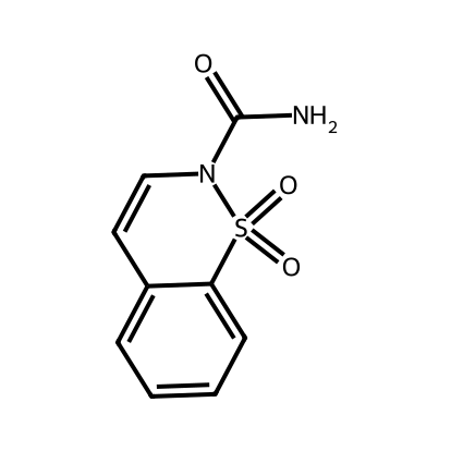 NC(=O)N1C=Cc2ccccc2S1(=O)=O